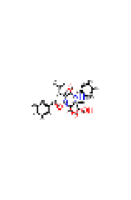 CC(C)CC1C(=O)NC(Cc2ccccc2)(C(=O)O)C(=O)N1OCc1ccccc1